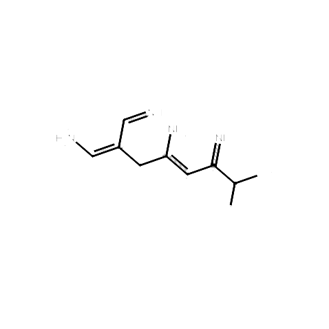 N=C/C(=C\N)C/C(N)=C/C(=N)C(F)F